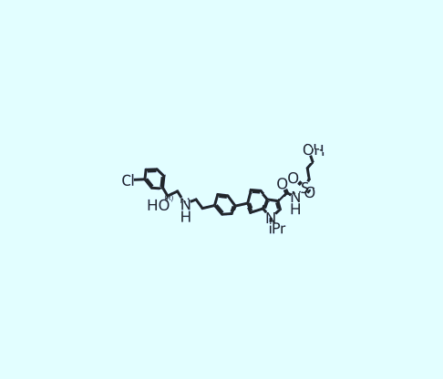 CC(C)n1cc(C(=O)NS(=O)(=O)CCCO)c2ccc(-c3ccc(CCNC[C@H](O)c4cccc(Cl)c4)cc3)cc21